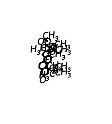 CC(=O)OCC(=O)[C@@]1(O[Si](C)(C)C)[C@@H](C)CC2C3CCC4=CC(=O)C=C(O[Si](C)(C)C)[C@]4(C)C3(F)CC[C@@]21C